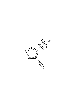 [C-]#[O+].[C-]#[O+].[C-]#[O+].[W].c1cc[cH-]c1